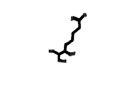 CCCCCC(O)C(O)CCCC[C](CC)CC